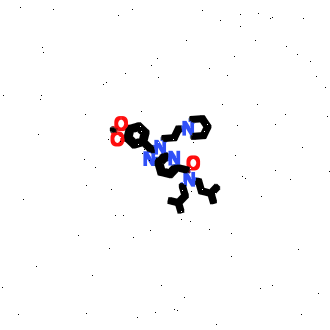 CC(C)CCN(CCC(C)C)C(=O)c1ccc2nc(-c3ccc4c(c3)OCO4)n(CCCN3CCCCC3)c2n1